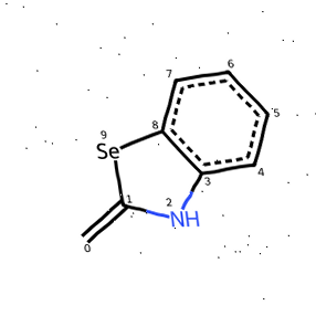 C=C1Nc2ccccc2[Se]1